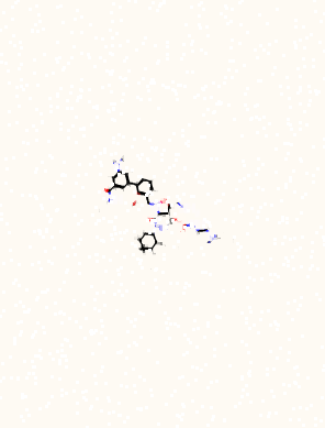 CNC(=O)c1cc(-c2cccc(CN3O[C@@H](CN)[C@@H]([C@H](C)OC(=O)NCCN(C)C)[C@H]3C(=O)N[C@H]3C[C@@H](C)C(C)(C)[C@@H](C)[C@@H]3C)c2OC)cc(N(C)C)c1